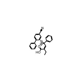 CCC(=CC1(c2ccccc2)N=N1)C(=O)O.N#Cc1ccc(-c2ccccc2)cc1